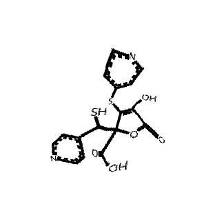 O=C1OC(C(=O)O)(C(S)c2ccncc2)C(Sc2ccncc2)=C1O